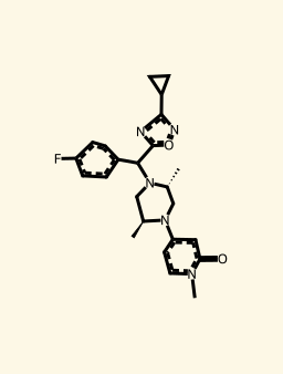 C[C@@H]1CN(c2ccn(C)c(=O)c2)[C@@H](C)CN1C(c1ccc(F)cc1)c1nc(C2CC2)no1